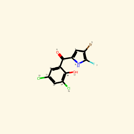 O=C(c1cc(Br)c(F)[nH]1)c1cc(Cl)cc(Cl)c1O